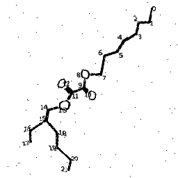 CCCCCCCCOC(=O)C(=O)OCC(CC)CCCC